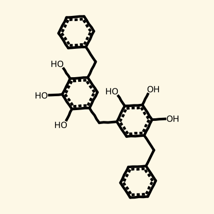 Oc1c(Cc2ccccc2)cc(Cc2cc(Cc3ccccc3)c(O)c(O)c2O)c(O)c1O